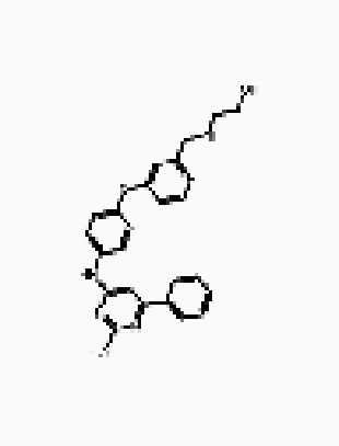 Nc1nc(Nc2ccc(Oc3ccnc(CNCCO)c3)cc2)cc(-c2ccccc2)n1